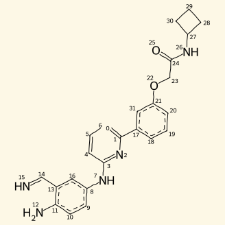 C=C(/N=C(\C=C/C)Nc1ccc(N)c(C=N)c1)c1cccc(OCC(=O)NC2CCC2)c1